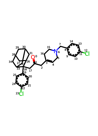 O=C(CC1=CCN(Cc2ccc(Cl)cc2)CC1)CC1(c2ccc(Cl)cc2)C2CC3CC(C2)CC1C3